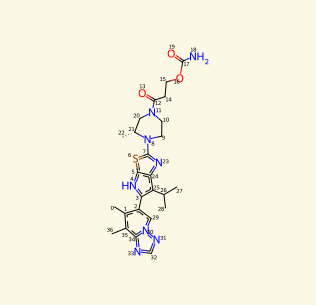 Cc1c(-c2[nH]c3sc(N4CCN(C(=O)CCOC(N)=O)C[C@H]4C)nc3c2C(C)C)cn2ncnc2c1C